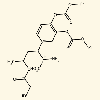 CC(C)CC(=O)OC(C)CC(c1ccc(OC(=O)OC(C)C)c(OC(=O)OC(C)C)c1)[C@H](N)C(=O)O